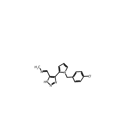 C/N=C/c1[nH]nnc1-c1cccn1Cc1ccc(Cl)cc1